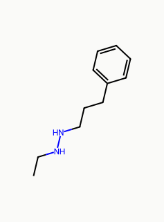 CCNNCCCc1ccccc1